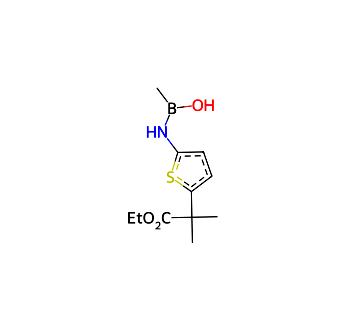 CCOC(=O)C(C)(C)c1ccc(NB(C)O)s1